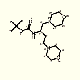 CC(C)(C)OC(=O)N[C@H](CCN1CCOCC1)CN1CCOCC1